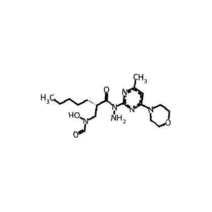 CCCCC[C@@H](CN(O)C=O)C(=O)N(N)c1nc(C)cc(N2CCOCC2)n1